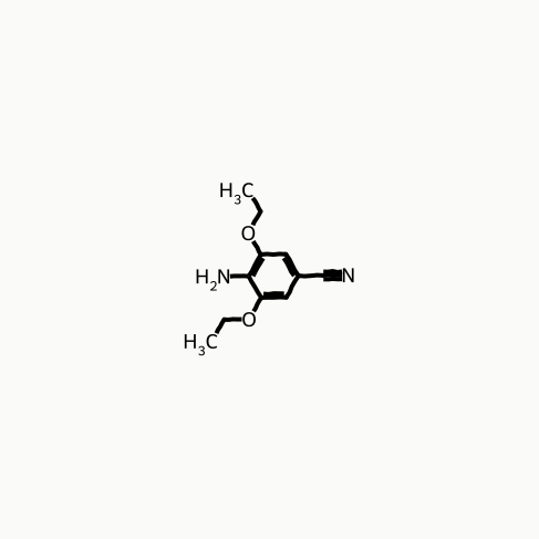 CCOc1cc(C#N)cc(OCC)c1N